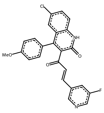 COc1ccc(-c2c(C(=O)/C=C/c3cncc(F)c3)c(=O)[nH]c3ccc(Cl)cc23)cc1